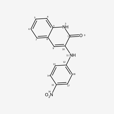 O=c1[nH]c2ccccc2cc1Nc1ccc([N+](=O)[O-])cc1